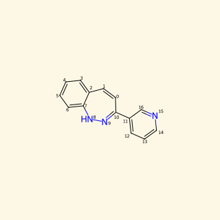 C1=Cc2ccccc2NN=C1c1cccnc1